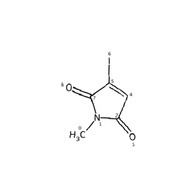 CN1C(=O)C=C(I)C1=O